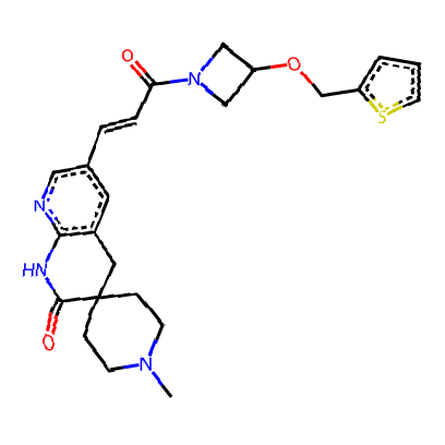 CN1CCC2(CC1)Cc1cc(C=CC(=O)N3CC(OCc4cccs4)C3)cnc1NC2=O